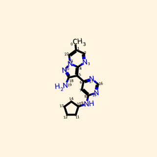 Cc1cnc2c(-c3cc(NC4CCCC4)ncn3)c(N)nn2c1